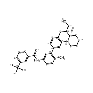 Cc1ccc(NC(=O)c2ccnc(C(F)(F)F)c2)cc1-c1ccc2c(c1)N1CCOC[C@@H]1[C@H](CO)C2